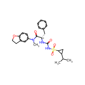 CC(C)C1CC1S(=O)(=O)NC(=O)N[C@@H](Cc1ccccc1)C(=O)N(C)c1ccc2c(c1)CCO2